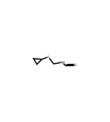 O=CNCOC1CC1